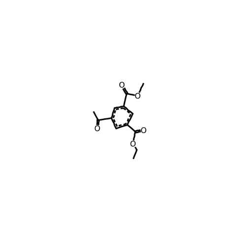 CCOC(=O)c1cc(C(C)=O)cc(C(=O)OC)c1